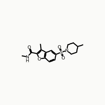 CNC(=O)c1oc2ccc(S(=O)(=O)N3CCC(C)CC3)cc2c1C